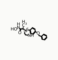 C[C@H](C(=O)NO)N1CCNc2cc(OCc3ccccc3)ccc2S1